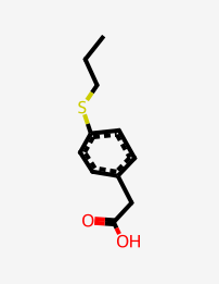 CCCSc1ccc(CC(=O)O)cc1